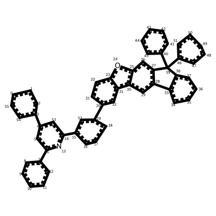 c1ccc(-c2cc(-c3ccccc3)nc(-c3cccc(-c4ccc5oc6cc7c(cc6c5c4)-c4ccccc4C7(c4ccccc4)c4ccccc4)c3)c2)cc1